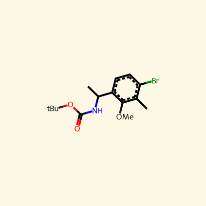 COc1c(C(C)NC(=O)OC(C)(C)C)ccc(Br)c1C